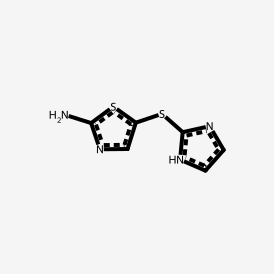 Nc1ncc(Sc2ncc[nH]2)s1